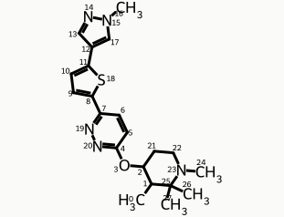 CC1C(Oc2ccc(-c3ccc(-c4cnn(C)c4)s3)nn2)CCN(C)C1(C)C